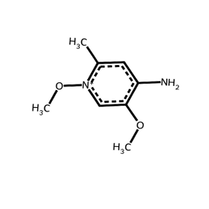 COc1c[n+](OC)c(C)cc1N